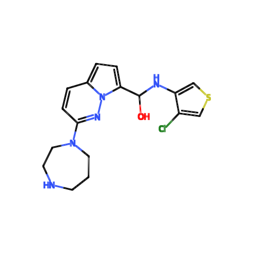 OC(Nc1cscc1Cl)c1ccc2ccc(N3CCCNCC3)nn12